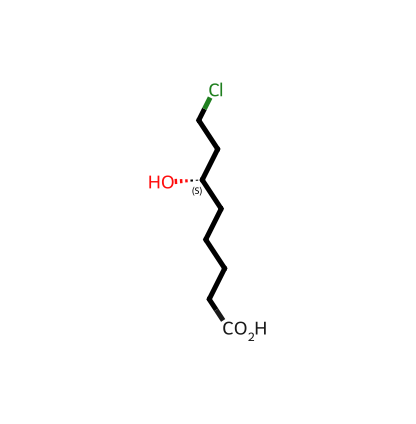 O=C(O)CCCC[C@H](O)CCCl